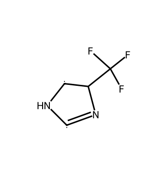 FC(F)(F)C1[CH]N[C]=N1